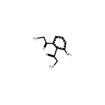 NCC(=O)c1cccc(N)c1C(=O)CN